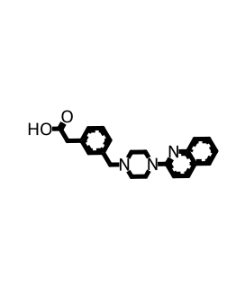 O=C(O)Cc1cccc(CN2CCN(c3ccc4ccccc4n3)CC2)c1